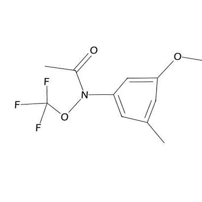 COc1cc(C)cc(N(OC(F)(F)F)C(C)=O)c1